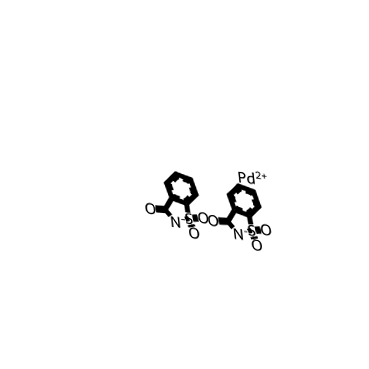 O=C1[N-]S(=O)(=O)c2ccccc21.O=C1[N-]S(=O)(=O)c2ccccc21.[Pd+2]